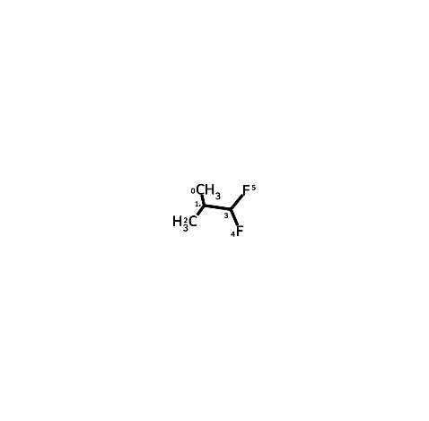 C[C](C)C(F)F